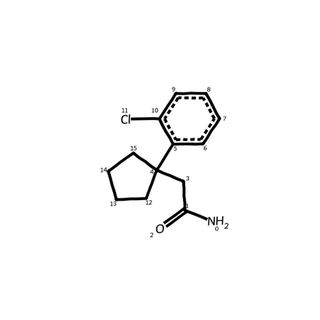 NC(=O)CC1(c2ccccc2Cl)CCCC1